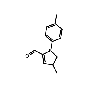 Cc1ccc(N2CC(C)C=C2C=O)cc1